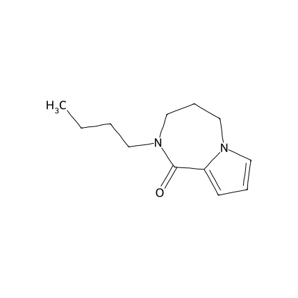 CCCCN1CCCn2cccc2C1=O